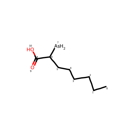 CCCCCCC([AsH2])C(=O)O